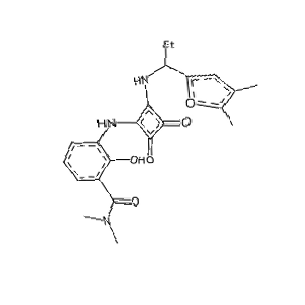 CCC(Nc1c(Nc2cccc(C(=O)N(C)C)c2O)c(=O)c1=O)c1cc(C)c(C)o1